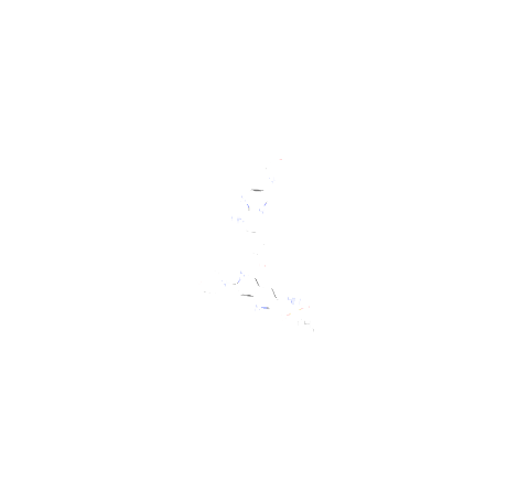 CS(=O)(=O)Nc1cnc2cc(N3CCOCC3)nc(OC3CCC(Nc4ncc(N5CCOCC5)cn4)CC3)c2c1